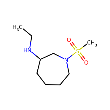 CCNC1CCCCN(S(C)(=O)=O)C1